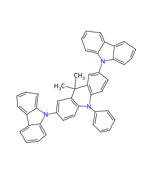 CC1(C)c2cc(-n3c4ccccc4c4ccccc43)ccc2N(c2ccccc2)c2ccc(-n3c4ccccc4c4ccccc43)cc21